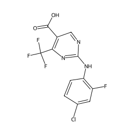 O=C(O)c1cnc(Nc2ccc(Cl)cc2F)nc1C(F)(F)F